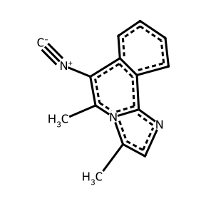 [C-]#[N+]c1c(C)n2c(C)cnc2c2ccccc12